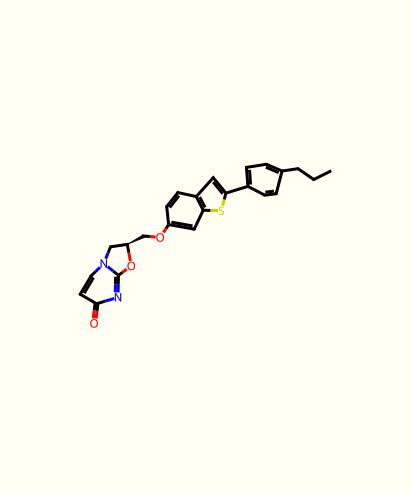 CCCc1ccc(-c2cc3ccc(OC[C@@H]4Cn5ccc(=O)nc5O4)cc3s2)cc1